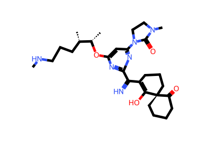 CNCCC[C@H](C)[C@H](C)Oc1cc(N2CCN(C)C2=O)nc(C(=N)C2=C(O)[C@]3(CCCCC3=O)CCC2)n1